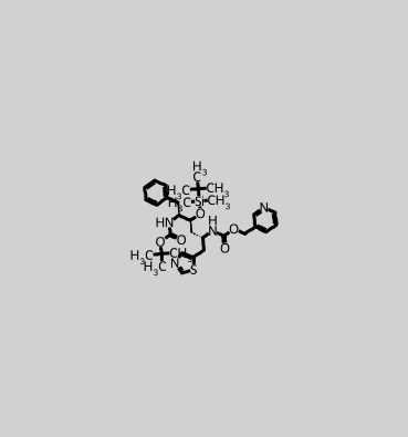 CC(C)(C)OC(=O)N[C@@H](Cc1ccccc1)[C@H](C[C@@H](Cc1cncs1)NC(=O)OCc1cccnc1)O[Si](C)(C)C(C)(C)C